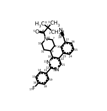 CC(C)(C)C(=O)N1CCC(c2nc(-c3ccc(F)cc3)ncc2-c2cccc(C#N)c2)CC1